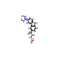 CCN(CC)c1ccc2c(c1)-c1cc(N(C)CCOC)ccc1C2